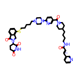 O=C(/C=C/c1cccnc1)NCCCCC1CCN(C(=O)c2ccc(N3CCN(CCCCCSc4cccc5c4CN(C4CCC(=O)NC4=O)C5=O)CC3)nc2)CC1